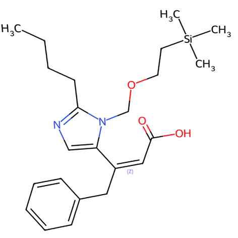 CCCCc1ncc(/C(=C\C(=O)O)Cc2ccccc2)n1COCC[Si](C)(C)C